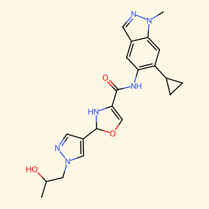 CC(O)Cn1cc(C2NC(C(=O)Nc3cc4cnn(C)c4cc3C3CC3)=CO2)cn1